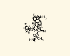 CN(CCCN1C=C(OC[C@@]23CCCN2C[C@H](F)C3)Oc2c(F)c(-c3ccc(F)c4sc(N)c(C#N)c34)c(Cl)c3c2=C1N(CC#N)CN=3)C(=O)[C@H]1CN1